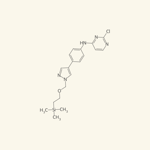 C[Si](C)(C)CCOCn1cc(-c2ccc(Nc3ccnc(Cl)n3)cc2)cn1